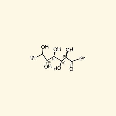 CC(C)C(=O)[C@H](O)[C@@H](O)[C@H](O)[C@H](O)C(O)C(C)C